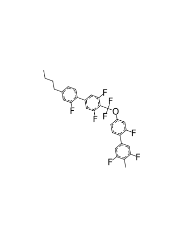 CCCCc1ccc(-c2cc(F)c(C(F)(F)Oc3ccc(-c4cc(F)c(C)c(F)c4)c(F)c3)c(F)c2)c(F)c1